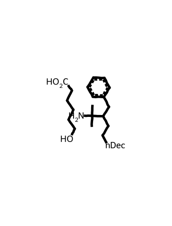 CCCCCCCCCCCCC(Cc1ccccc1)C(C)(C)N.O=C(O)CCCCCO